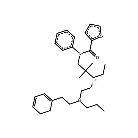 CCCN(CCC1=CC=CCC1)CC[C@@H](CC)C(C)(C)CN(C(=O)c1ccco1)c1ccccc1